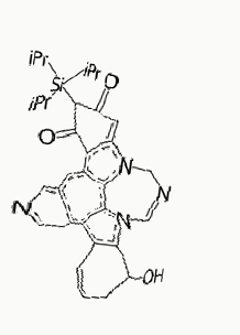 CC(C)[Si](C(C)C)(C(C)C)C1C(=O)C=c2c(c3c4c(c5c6c(n7c5c3n2CN=C7)C(O)CC=C6)C=NC=4)C1=O